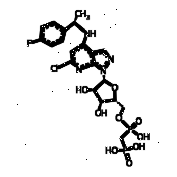 C[C@H](Nc1cc(Cl)nc2c1cnn2[C@@H]1O[C@H](COP(=O)(O)CP(=O)(O)O)[C@@H](O)[C@H]1O)c1ccc(F)cc1